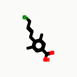 Cc1cc(C(=O)O)cc(C)c1CC=CCCl